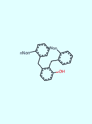 CCCCCCCCCc1ccccc1Cc1cccc(O)c1Cc1ccccc1CCCCCCCCC